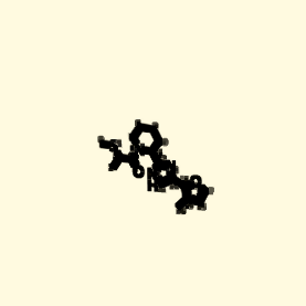 CSC(C)C(=O)N1CCCCC1c1nc(-c2occc2C)c[nH]1